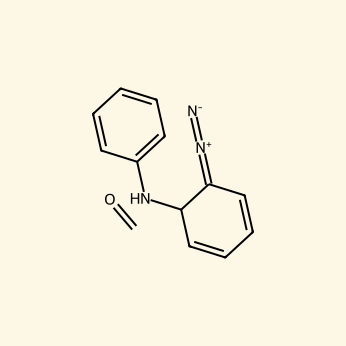 C=O.[N-]=[N+]=C1C=CC=CC1Nc1ccccc1